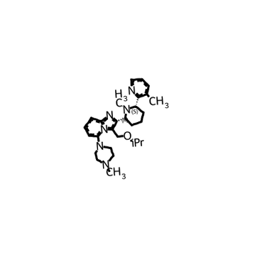 Cc1cccnc1[C@@H]1CCC[C@H](c2nc3cccc(N4CCN(C)CC4)n3c2COC(C)C)N1C